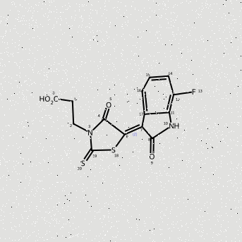 O=C(O)CCN1C(=O)/C(=C2/C(=O)Nc3c(F)cccc32)SC1=S